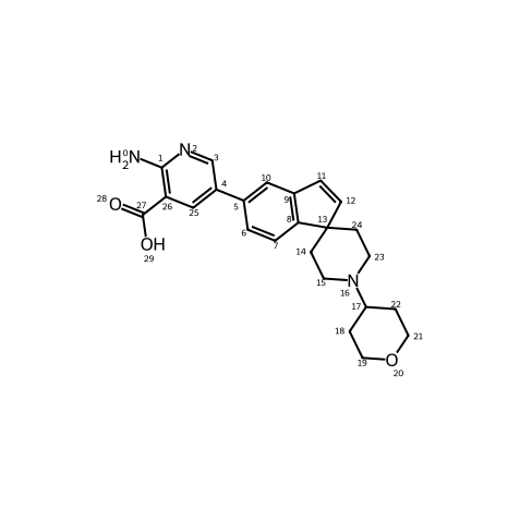 Nc1ncc(-c2ccc3c(c2)C=CC32CCN(C3CCOCC3)CC2)cc1C(=O)O